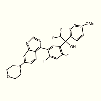 COc1ccc(C(O)(c2cc(-c3ncnc4cc(N5CCOCC5)ccc34)c(F)cc2Cl)C(F)F)nn1